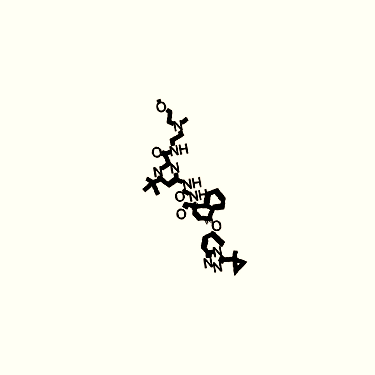 COCCN(C)CCNC(=O)c1nc(NC(=O)N[C@@]2(C=O)C=C[C@@H](Oc3ccc4nnc(C5(C)CC5)n4c3)c3ccccc32)cc(C(C)(C)C)n1